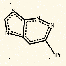 CC(C)c1cc2ncsc2nn1